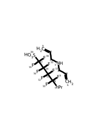 C=CCNCC=C.CCCC(F)(F)C(F)(F)C(F)(F)C(F)(F)S(=O)(=O)O